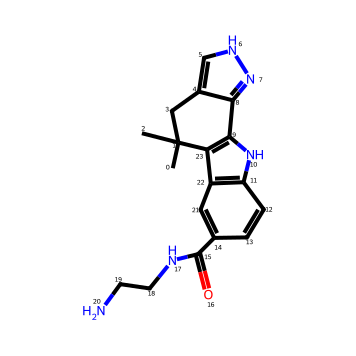 CC1(C)Cc2c[nH]nc2-c2[nH]c3ccc(C(=O)NCCN)cc3c21